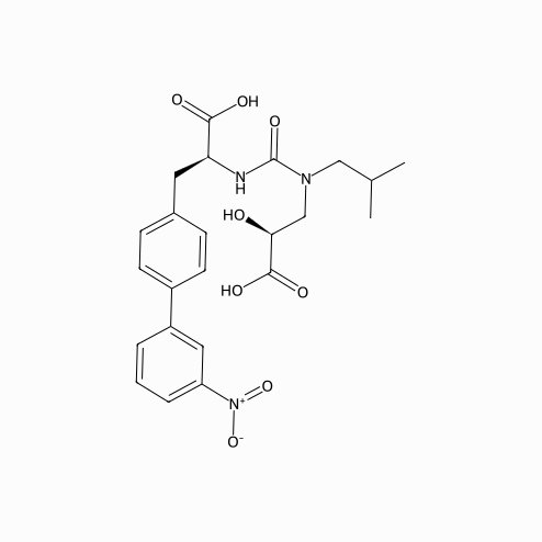 CC(C)CN(C[C@H](O)C(=O)O)C(=O)N[C@@H](Cc1ccc(-c2cccc([N+](=O)[O-])c2)cc1)C(=O)O